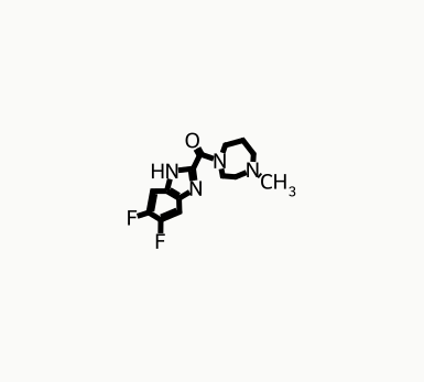 CN1CCCN(C(=O)c2nc3cc(F)c(F)cc3[nH]2)CC1